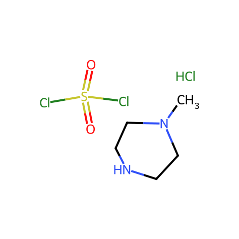 CN1CCNCC1.Cl.O=S(=O)(Cl)Cl